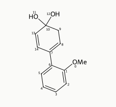 COc1ccccc1C1=CCC(O)(O)C=C1